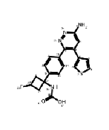 Nc1cc(-c2ccsc2)c(-c2ccc(C3(NC(=O)O)CC(F)C3)cc2)nn1